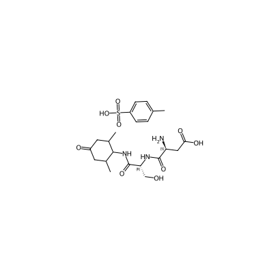 CC1CC(=O)CC(C)C1NC(=O)[C@@H](CO)NC(=O)[C@@H](N)CC(=O)O.Cc1ccc(S(=O)(=O)O)cc1